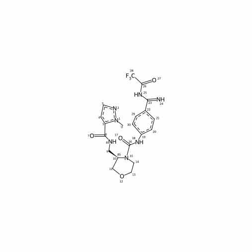 Cn1nccc1C(=O)NC[C@@H]1COCCN1C(=O)Nc1ccc(C(=N)NC(=O)C(F)(F)F)cc1